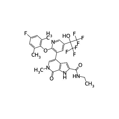 CCNC(=O)c1cc2c(-c3cc(C(O)(C(F)(F)F)C(F)(F)F)cnc3Oc3c(C)cc(F)cc3C)cn(C)c(=O)c2[nH]1